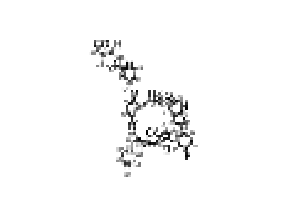 Cc1c(Cl)c2c(Cl)c(C)c1-c1c(-c3ccc(F)cc3)sc3ncnc(c13)O[C@@H](C(=O)O)Cc1cc(ccc1OCc1ccnc(N3CCC(CC(=O)O)CC3)n1)OC[C@@H](CN1CCN(C)CC1)O2